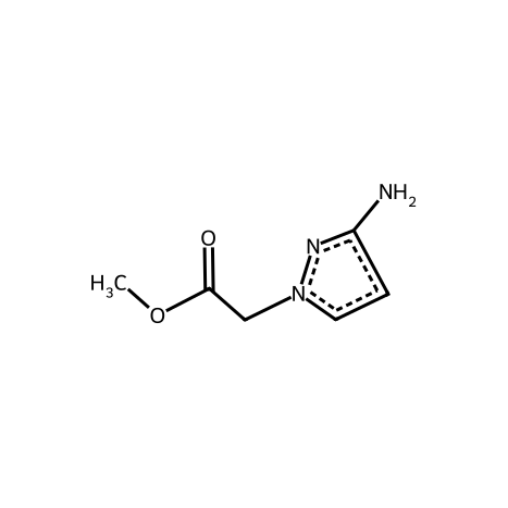 COC(=O)Cn1ccc(N)n1